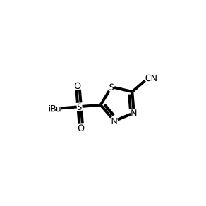 CCC(C)S(=O)(=O)c1nnc(C#N)s1